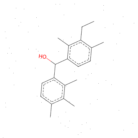 CCc1c(C)ccc(C(O)c2ccc(C)c(C)c2C)c1C